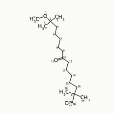 COC(C)(C)CCCCCC(=O)CCCCCC(C)(C)C=O